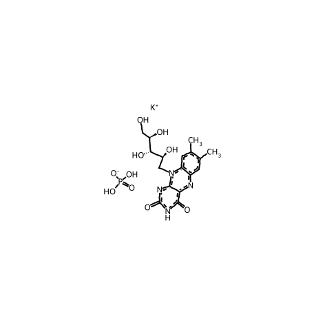 Cc1cc2nc3c(=O)[nH]c(=O)nc-3n(C[C@H](O)[C@H](O)[C@H](O)CO)c2cc1C.O=P([O-])(O)O.[K+]